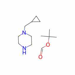 C1CN(CC2CC2)CCN1.CC(C)(C)OC=O